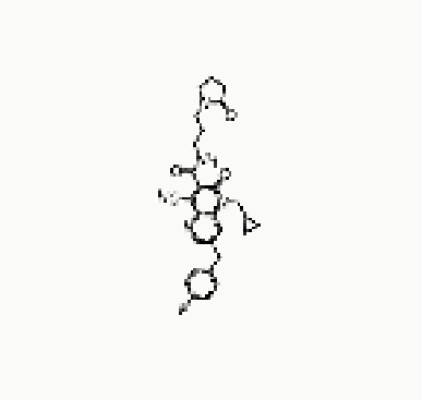 O=C(NCCCN1CCCC1=O)c1c(O)c2ncc(Cc3ccc(F)cc3)cc2n(CC2CC2)c1=O